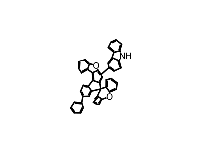 c1ccc(-c2ccc3c(c2)C2(c4ccccc4Oc4ccccc42)c2cc(-c4ccc5[nH]c6ccccc6c5c4)c4oc5ccccc5c4c2-3)cc1